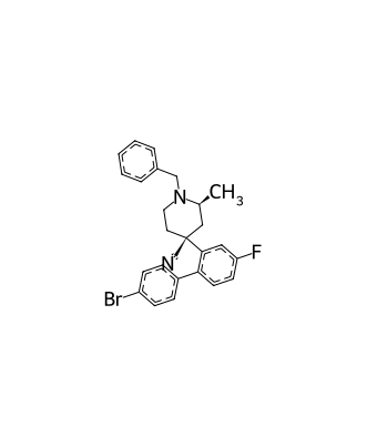 C[C@H]1C[C@](C#N)(c2cc(F)ccc2-c2ccc(Br)cc2)CCN1Cc1ccccc1